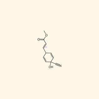 COC(=O)/C=C/C1C=CC(O)(C#N)C=C1